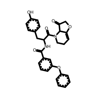 O=C(NC(Cc1ccc(O)cc1)C(=O)N1CCC=C2OCC(=O)C21)c1cccc(Oc2ccccc2)c1